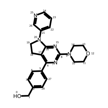 OCc1ccc(-c2nc(N3CCOCC3)nc3c2CCN3c2cccnc2)cc1